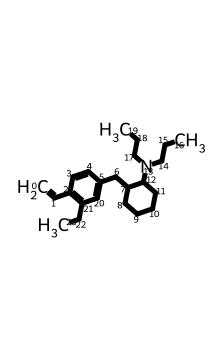 C=Cc1ccc(CC2CCCCC2N(CCC)CCC)cc1CC